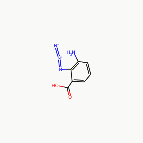 [N-]=[N+]=Nc1c(N)cccc1C(=O)O